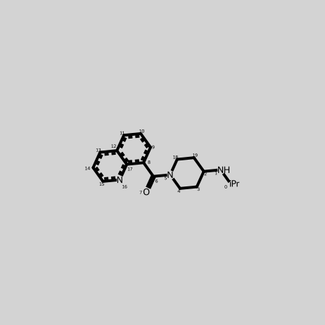 CC(C)NC1CCN(C(=O)c2cccc3cccnc23)CC1